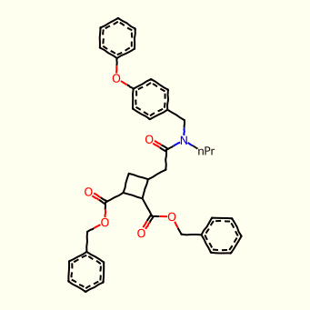 CCCN(Cc1ccc(Oc2ccccc2)cc1)C(=O)CC1CC(C(=O)OCc2ccccc2)C1C(=O)OCc1ccccc1